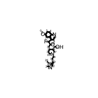 COc1ccc2nccc([C@H](F)CC[C@@H]3CCN(CCSc4cncn4C)C[C@@H]3C(=O)O)c2c1